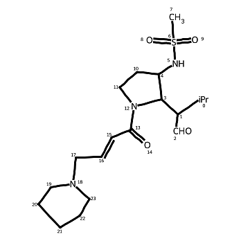 CC(C)C(C=O)C1C(NS(C)(=O)=O)CCN1C(=O)/C=C/CN1CCCCC1